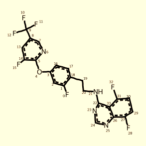 Fc1cc(Oc2ncc(C(F)(F)F)cc2F)ccc1CCNc1ncnc2c(F)ccc(F)c12